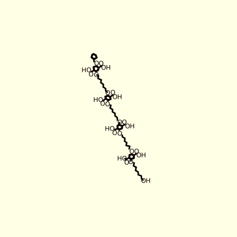 O=C(O)c1cc(OCCCCCCCCOc2cc(C(=O)O)c(OCCCCCCCCOc3cc(C(=O)O)c(OCCCCCCCCOc4cc(C(=O)O)c(OCc5ccccc5)cc4C(=O)O)cc3C(=O)O)cc2C(=O)O)c(C(=O)O)cc1OCCCCCCCCO